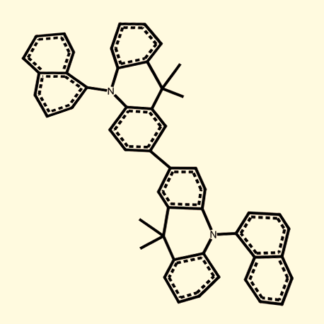 CC1(C)c2ccccc2N(c2cccc3ccccc23)c2ccc(-c3ccc4c(c3)C(C)(C)c3ccccc3N4c3cccc4ccccc34)cc21